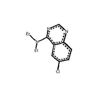 CCN(CC)c1ncnc2ccc(Cl)cc12